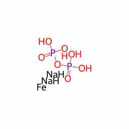 O=P(O)(O)OP(=O)(O)O.[Fe].[NaH].[NaH]